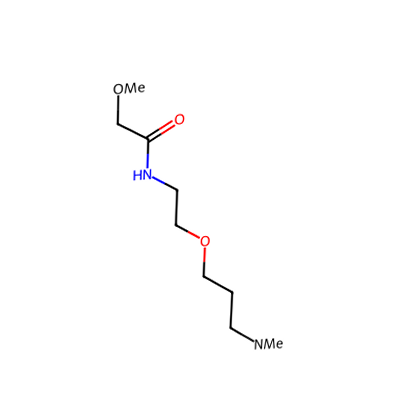 CNCCCOCCNC(=O)COC